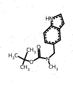 CN(Cc1ccc2[nH]ccc2c1)C(=O)OC(C)(C)C